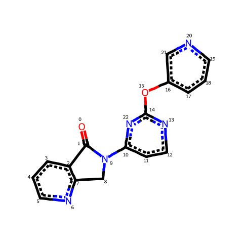 O=C1c2cccnc2CN1c1ccnc(Oc2cccnc2)n1